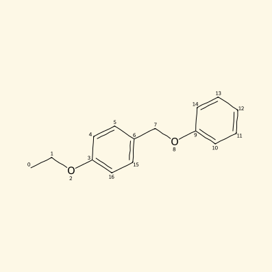 CCOc1ccc(COc2ccccc2)cc1